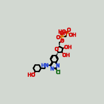 O=P(O)(O)CP(=O)(O)OC[C@H]1O[C@@H](c2ccc3c(NCC4CCCC(O)C4)nc(Cl)nc3c2)[C@H](O)[C@@H]1O